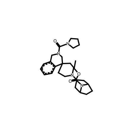 CCOC(=O)N1C2CCC1CC(N1CCC3(CC1)CN(C(=O)N1CCCC1)Cc1ccccc13)C2